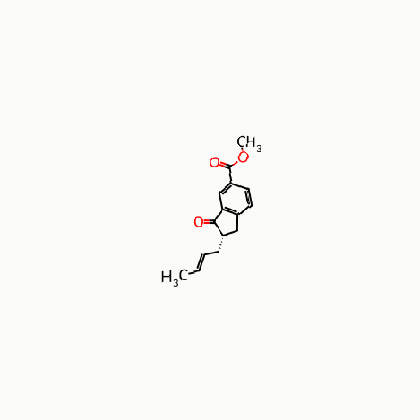 CC=CC[C@H]1Cc2ccc(C(=O)OC)cc2C1=O